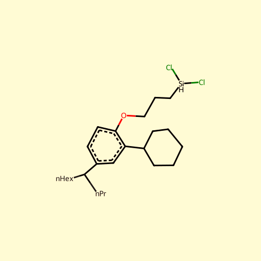 CCCCCCC(CCC)c1ccc(OCCC[SiH](Cl)Cl)c(C2CCCCC2)c1